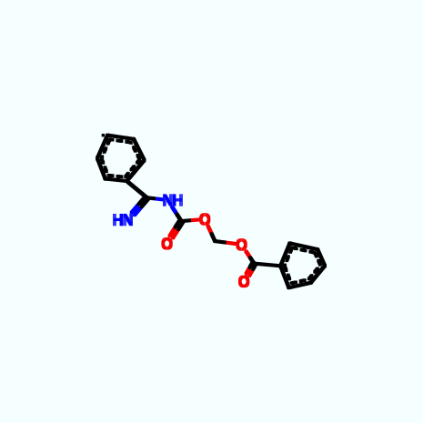 N=C(NC(=O)OCOC(=O)c1ccccc1)c1cc[c]cc1